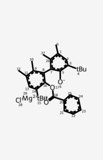 Cc1cc(C(C)(C)C)c([O-])c(-c2c(C)c(C)cc(C(C)(C)C)c2OC(=O)c2ccccc2)c1C.[Cl-].[Mg+2]